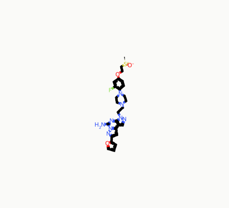 C[S@+]([O-])CCOc1ccc(N2CCN(CCn3ncc4c3nc(N)n3nc(-c5ccco5)cc43)CC2)c(F)c1